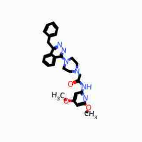 COc1cc(NC(=O)CN2CCN(c3nnc(Cc4ccccc4)c4ccccc34)CC2)nc(OC)c1